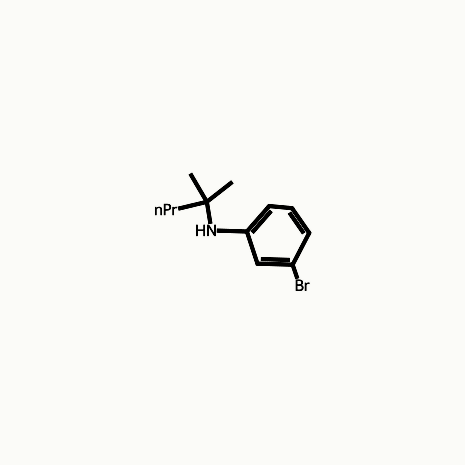 CCCC(C)(C)Nc1cccc(Br)c1